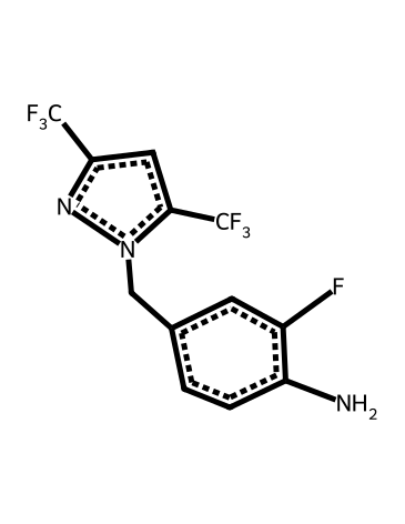 Nc1ccc(Cn2nc(C(F)(F)F)cc2C(F)(F)F)cc1F